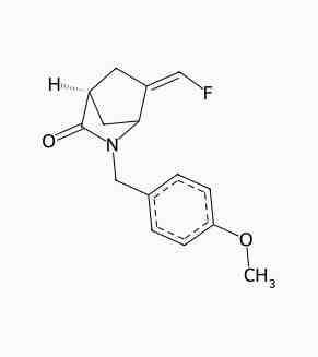 COc1ccc(CN2C(=O)[C@H]3C/C(=C/F)C2C3)cc1